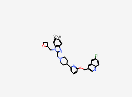 O=C(O)c1ccc2nc(CN3CCC(c4cccc(OCc5cnc6ccc(Cl)cc6c5)n4)CC3)n(CC3CCO3)c2c1